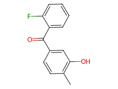 Cc1ccc(C(=O)c2ccccc2F)cc1O